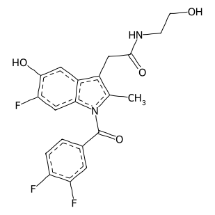 Cc1c(CC(=O)NCCO)c2cc(O)c(F)cc2n1C(=O)c1ccc(F)c(F)c1